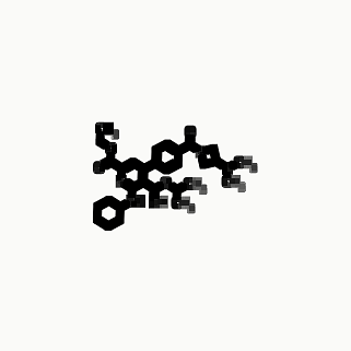 CCOC(=O)c1cc(-c2ccc(C(=O)N3CC(N(C)C)C3)cc2)c(C(=N)OC(C)C)c(NC2CCCCC2)n1